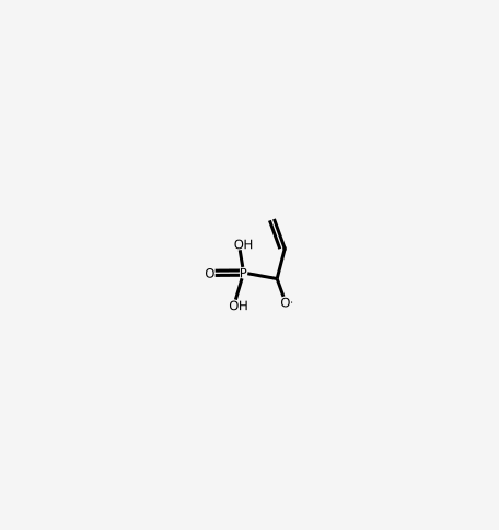 C=CC([O])P(=O)(O)O